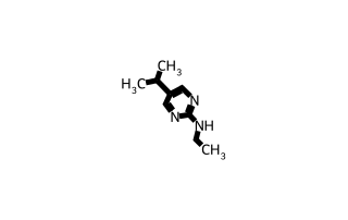 CCNc1ncc(C(C)C)cn1